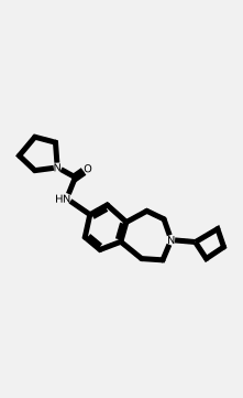 O=C(Nc1ccc2c(c1)CCN(C1CCC1)CC2)N1CCCC1